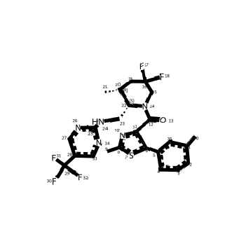 Cc1cccc(-c2sc(C)nc2C(=O)N2CC(F)(F)C[C@@H](C)[C@H]2CNc2ncc(C(F)(F)F)cn2)c1